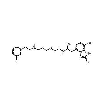 O=c1[nH]c2c(O)ccc(CC(O)NCCOCCCNCCc3cccc(Cl)c3)c2s1